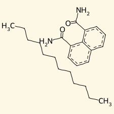 CCCCCCCCCCCC.NC(=O)c1cccc2cccc(C(N)=O)c12